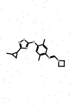 Cc1cc(Oc2nc(C3CC3C)ns2)c(C)cc1N=CN1CCC1